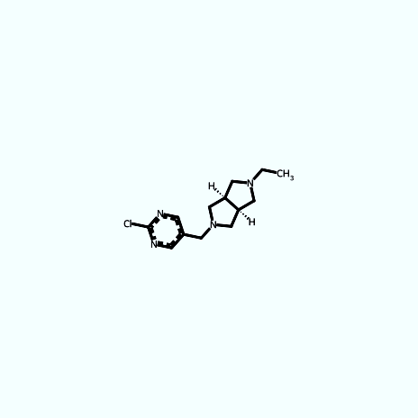 CCN1C[C@@H]2CN(Cc3cnc(Cl)nc3)C[C@@H]2C1